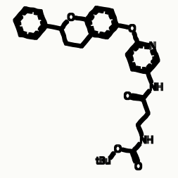 CC(C)(C)OC(=O)NCCC(=O)Nc1ccc(Oc2ccc3c(c2)CCC(c2ccccc2)O3)nc1